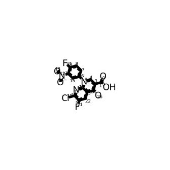 O=C(O)c1cn(-c2ccc(F)c([N+](=O)[O-])c2)c2nc(Cl)c(F)cc2c1=O